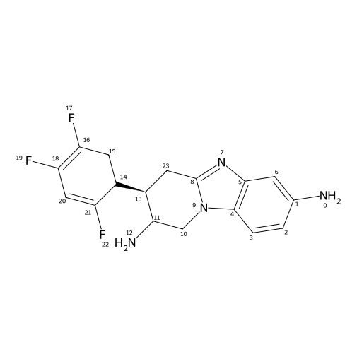 Nc1ccc2c(c1)nc1n2CC(N)[C@@H](C2CC(F)=C(F)C=C2F)C1